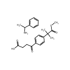 CC(N)c1ccccc1.COC(=O)C(C)(C)c1ccc(C(=O)CCC(=O)O)cc1